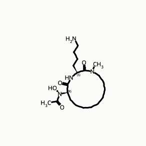 CC(=O)N(O)[C@@H]1CCCCCCCCCN(C)C(=O)[C@H](CCCCN)NC1=O